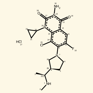 CN[C@@H](C)[C@@H]1CCN(c2c(F)cc3c(=O)n(N)c(=O)n(C4CC4)c3c2Cl)C1.Cl